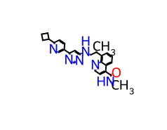 CNC(=O)c1ccnc2c([C@H](C)CNc3cc(-c4ccc(C5CCC5)nc4)ncn3)cccc12